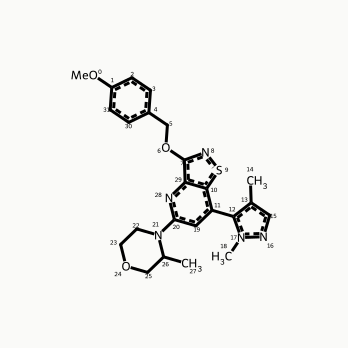 COc1ccc(COc2nsc3c(-c4c(C)cnn4C)cc(N4CCOCC4C)nc23)cc1